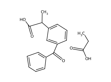 CC(C(=O)O)c1cccc(C(=O)c2ccccc2)c1.CCC(=O)O